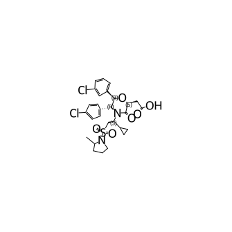 CC1CCCN1S(=O)(=O)C[C@H](C1CC1)N1C(=O)[C@H](CC(=O)O)O[C@H](c2cccc(Cl)c2)[C@H]1c1ccc(Cl)cc1